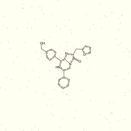 O=c1c(Cc2ccco2)nc2c(-c3ccc(CO)cc3)[nH]c(-c3ccccc3)cn1-2